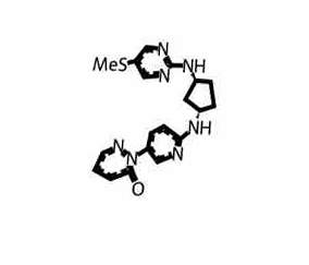 CSc1cnc(N[C@H]2CC[C@H](Nc3ccc(-n4ncccc4=O)cn3)C2)nc1